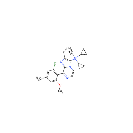 CCc1nc2c(-c3c(Cl)cc(C)cc3OC)nccn2c1[N+](C)(C1CC1)C1CC1